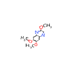 COc1cnc2cc(OC)c(OC)cc2n1